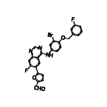 O=Cc1ccc(-c2cc3c(Nc4ccc(OCc5cccc(F)c5)c(Br)c4)ncnc3cc2F)o1